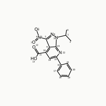 CC(C)n1nc([N+](=O)[O-])c2c(C(=O)O)cc(-c3ccccc3)nc21